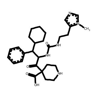 Cn1cncc1CCNC(=O)NC(C(=O)C1(C(=O)O)CCNCC1)C(c1ccccc1)C1CCCCC1